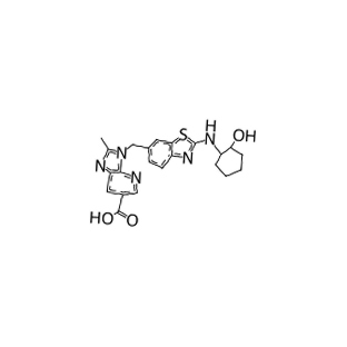 Cc1nc2cc(C(=O)O)cnc2n1Cc1ccc2nc(NC3CCCCC3O)sc2c1